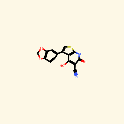 N#Cc1c(O)c2c(-c3ccc4c(c3)OCO4)csc2[nH]c1=O